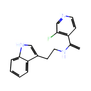 C=C(NCCc1c[nH]c2ccccc12)c1ccncc1F